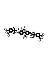 CCC(CC)(C(=O)Nc1ccc(-c2ccc(NC(=O)C(CC)(CC)c3ccc4c(c3)C(=O)OC4=O)cc2C(F)(F)F)c(C(F)(F)F)c1)c1ccc2c(c1)C(=O)OC2=O